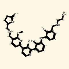 COc1nc(-c2ccnc(-c3cccc(Nc4cccc(CNCCO)c4F)c3Cl)c2Cl)ccc1CNCC1CCC(=O)N1